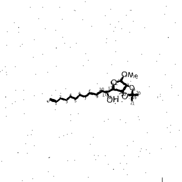 C=CCCCCCCCCC[C@H](O)C1OC(OC)C2OC(C)(C)OC21